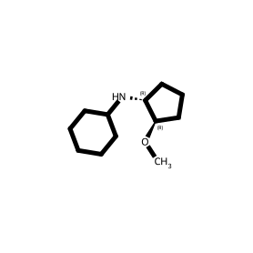 CO[C@@H]1CCC[C@H]1NC1CCCCC1